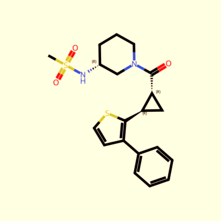 CS(=O)(=O)N[C@@H]1CCCN(C(=O)[C@@H]2C[C@H]2c2sccc2-c2ccccc2)C1